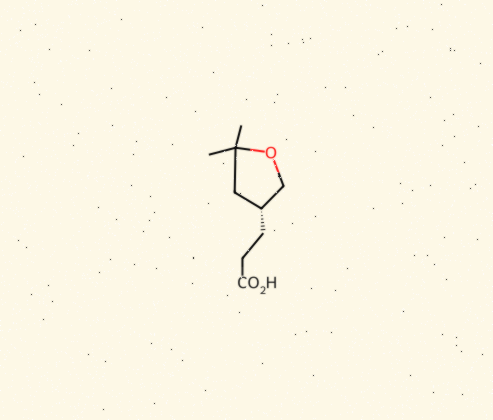 CC1(C)C[C@@H](CCC(=O)O)CO1